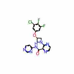 O=C(Nc1ccncn1)c1nccnc1N1CC(Oc2cc(F)c(F)c(Cl)c2)C1